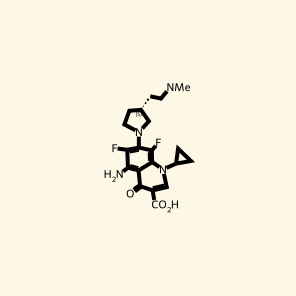 CNCC[C@H]1CCN(c2c(F)c(N)c3c(=O)c(C(=O)O)cn(C4CC4)c3c2F)C1